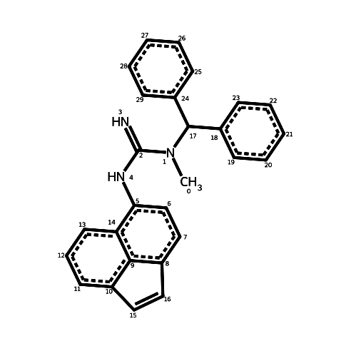 CN(C(=N)Nc1ccc2c3c(cccc13)C=C2)C(c1ccccc1)c1ccccc1